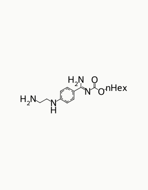 CCCCCCOC(=O)/N=C(\N)c1ccc(NCCN)cc1